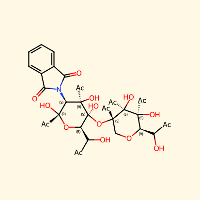 CC(=O)C(O)[C@H]1O[C@@](O)(C(C)=O)[C@@H](N2C(=O)c3ccccc3C2=O)[C@](O)(C(C)=O)[C@@]1(O)O[C@@]1(C(C)=O)CO[C@H](C(O)C(C)=O)[C@@](O)(C(C)=O)[C@@]1(O)C(C)=O